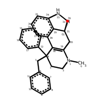 CN1CCC(Cc2ccccc2)(c2ccccc2)C2=C1C[C@@H]1CNc3cccc2c31